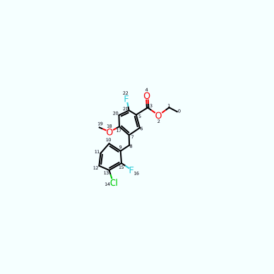 CCOC(=O)c1cc(Cc2cccc(Cl)c2F)c(OC)cc1F